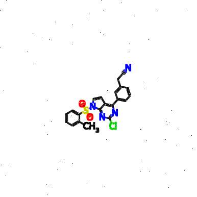 Cc1ccccc1S(=O)(=O)n1ccc2c(-c3cccc(CC#N)c3)nc(Cl)nc21